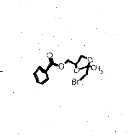 CC1(CBr)OCC(COC(=O)c2ccccc2)O1